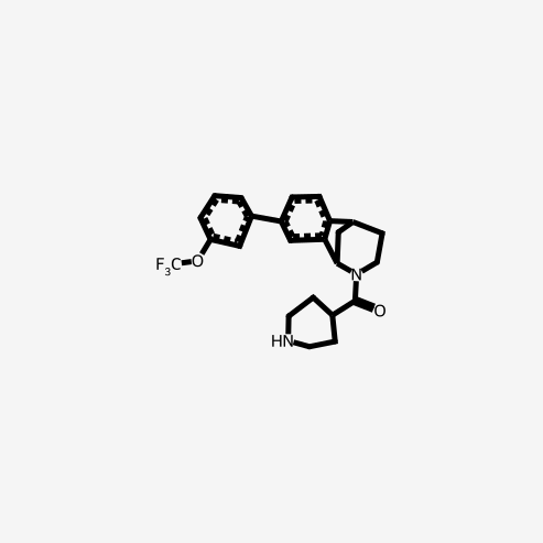 O=C(C1CCNCC1)N1CCC2CC1c1cc(-c3cccc(OC(F)(F)F)c3)ccc12